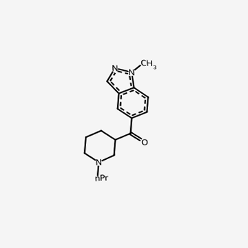 CCCN1CCCC(C(=O)c2ccc3c(cnn3C)c2)C1